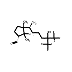 C[C@@H](CCCC(O)(C(F)(F)F)C(F)(F)F)[C@@]1(C)CC[C@@H](C=O)C1(C)C